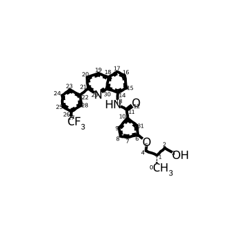 C[C@@H](CO)COc1cccc(C(=O)Nc2cccc3ccc(-c4cccc(C(F)(F)F)c4)nc23)c1